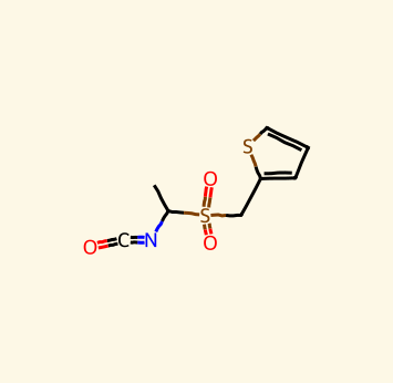 CC(N=C=O)S(=O)(=O)Cc1cccs1